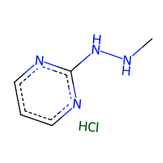 CNNc1ncccn1.Cl